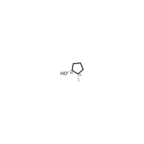 C[C@H]1CCC[C@H]1O